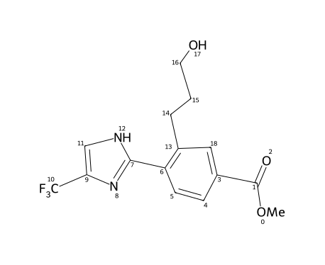 COC(=O)c1ccc(-c2nc(C(F)(F)F)c[nH]2)c(CCCO)c1